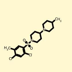 Cc1cc(S(=O)(=O)N2CCC(N3CCC(C)CC3)CC2)c(Cl)cc1Cl